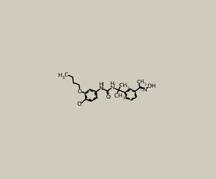 CCCCOc1cc(NC(=O)NC(C)(C)c2cccc(/C(C)=N/O)c2)ccc1Cl